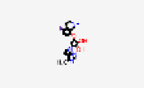 Cc1ncnc2c1ccn2C1CC(Oc2ccc(I)c3c2CNCC3)[C@@H](O)[C@H]1O